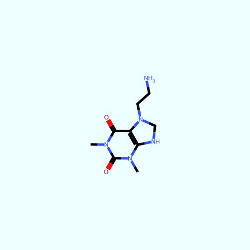 Cn1c2c(c(=O)n(C)c1=O)N(CCN)CN2